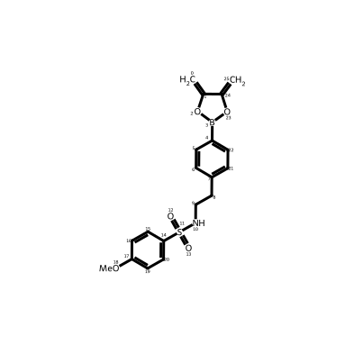 C=C1OB(c2ccc(CCNS(=O)(=O)c3ccc(OC)cc3)cc2)OC1=C